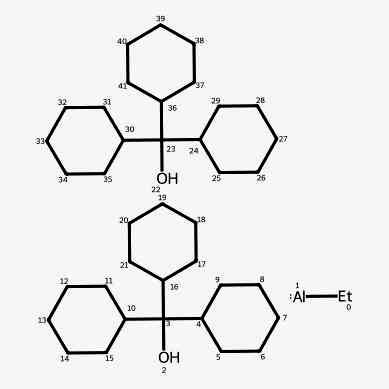 C[CH2][Al].OC(C1CCCCC1)(C1CCCCC1)C1CCCCC1.OC(C1CCCCC1)(C1CCCCC1)C1CCCCC1